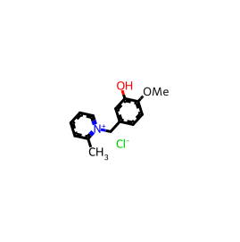 COc1ccc(C[n+]2ccccc2C)cc1O.[Cl-]